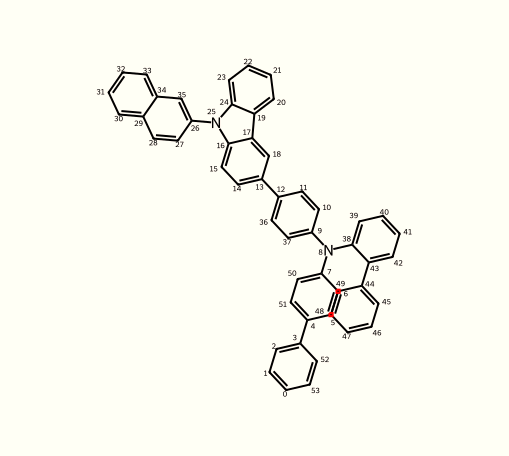 c1ccc(-c2ccc(N(c3ccc(-c4ccc5c(c4)c4ccccc4n5-c4ccc5ccccc5c4)cc3)c3ccccc3-c3ccccc3)cc2)cc1